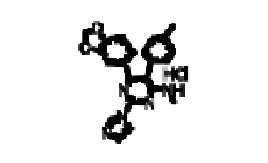 CNc1nc(-n2ccnc2)nc(-c2ccc3c(c2)OCO3)c1-c1ccc(C)cc1.Cl